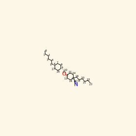 CCCCCC[C@H]1CC[C@H](CO[C@H]2CC[C@@](C#N)(CCCCCC)CC2)CC1